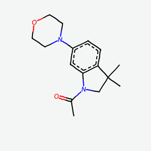 CC(=O)N1CC(C)(C)c2ccc(N3CCOCC3)cc21